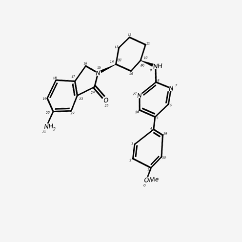 COc1ccc(-c2cnc(N[C@@H]3CCC[C@H](N4Cc5ccc(N)cc5C4=O)C3)nc2)cc1